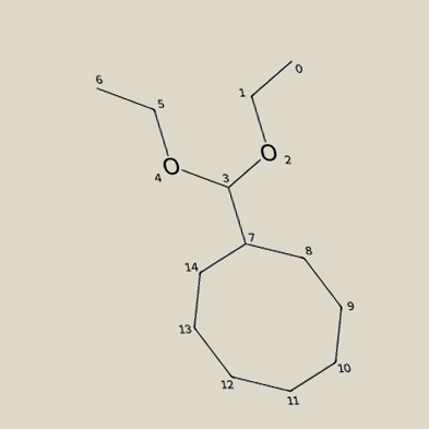 CCOC(OCC)C1CCCCCCC1